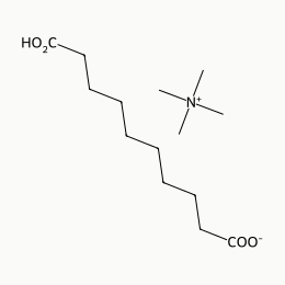 C[N+](C)(C)C.O=C([O-])CCCCCCCCC(=O)O